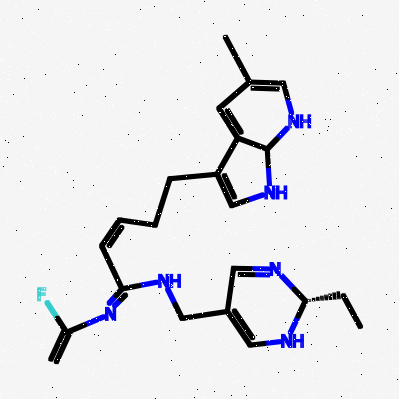 C=C(F)/N=C(\C=C/CCC1=CNC2NC=C(C)C=C12)NCC1=CN[C@@H](CC)N=C1